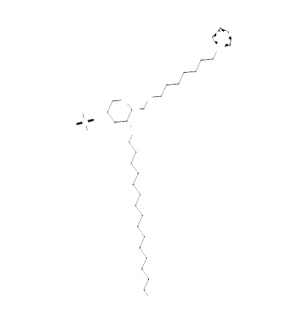 CCCCCCCCCCCCCCCCO[C@H]1CCCO[C@H]1COCCCCCCC[n+]1ccsc1.CS(=O)(=O)[O-]